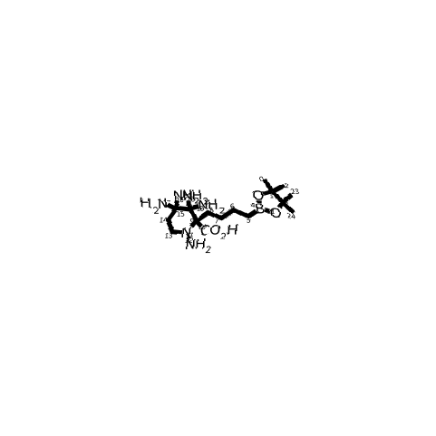 CC1(C)OB(CCCCC2(C(=O)O)N(N)CCC(N)(N)C2(N)N)OC1(C)C